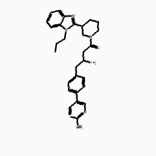 Nc1ncc(-c2ccc(CC(N)CC(=O)N3CCCC(c4nc5ccccc5n4CCF)C3)cc2)cn1